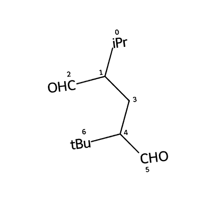 CC(C)C(C=O)CC(C=O)C(C)(C)C